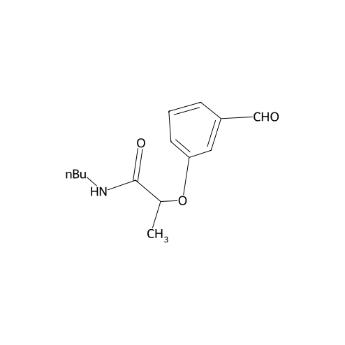 CCCCNC(=O)C(C)Oc1cccc(C=O)c1